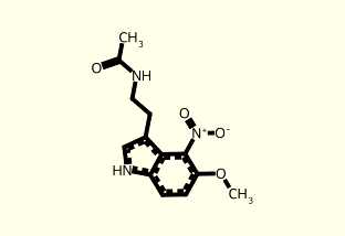 COc1ccc2[nH]cc(CCNC(C)=O)c2c1[N+](=O)[O-]